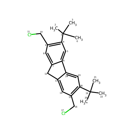 CC(C)(C)c1cc2c(cc1CCl)Cc1cc(CCl)c(C(C)(C)C)cc1-2